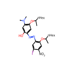 CCCCCCC(C)Oc1cc([N+](=O)[O-])c(I)cc1N=Nc1cc(OC(C)CCCCCC)c(N(C)C)cc1O